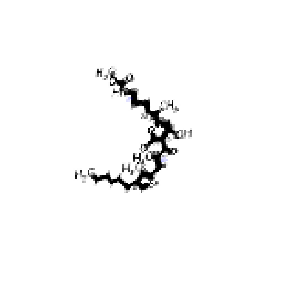 CCCCCCc1csc(/C=C(\C)C(=O)c2c(O)cc(C(C)CC/C=C/NC(=O)OC)oc2=O)c1C